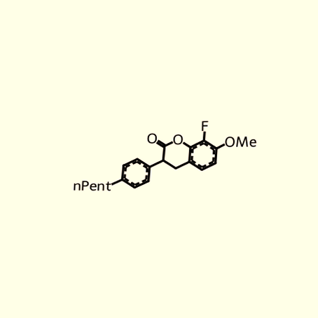 CCCCCc1ccc(C2Cc3ccc(OC)c(F)c3OC2=O)cc1